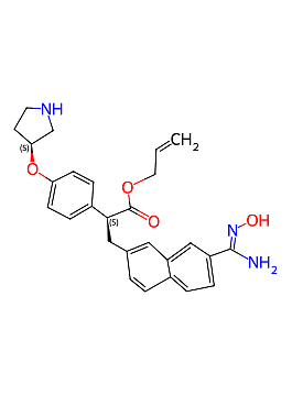 C=CCOC(=O)[C@@H](Cc1ccc2ccc(C(N)=NO)cc2c1)c1ccc(O[C@H]2CCNC2)cc1